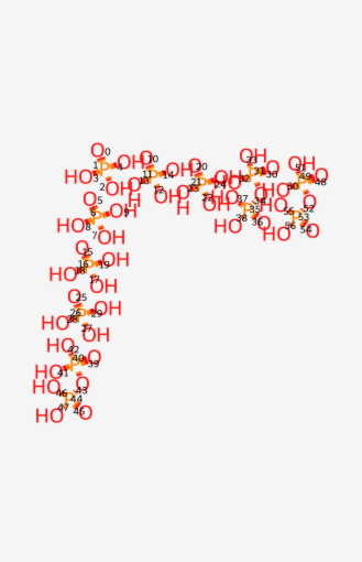 O=P(O)(O)O.O=P(O)(O)O.O=P(O)(O)O.O=P(O)(O)O.O=P(O)(O)O.O=P(O)(O)O.O=P(O)(O)OP(=O)(O)O.O=P(O)(O)OP(=O)(O)O.O=P(O)(O)OP(=O)(O)O